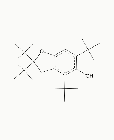 CC(C)(C)c1cc2c(c(C(C)(C)C)c1O)CC(C(C)(C)C)(C(C)(C)C)O2